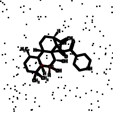 C=C1C(=O)[C@]23[C@H](OC(=O)C4CCNCC4)[C@H]1CC[C@H]2[C@@]12CO[C@@]3(O)[C@@H](O)[C@@H]1C(C)(C)CC[C@@H]2C